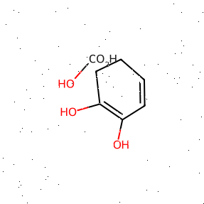 O=C(O)O.OC1=C(O)CCC=C1